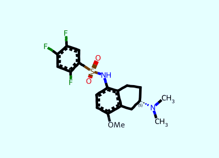 COc1ccc(NS(=O)(=O)c2cc(F)c(F)cc2F)c2c1C[C@@H](N(C)C)CC2